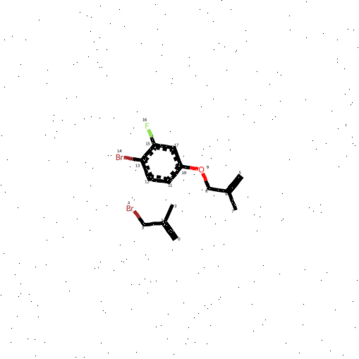 C=C(C)CBr.C=C(C)COc1ccc(Br)c(F)c1